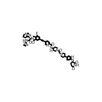 O=C1CC[C@@H](Nc2ccc(C3CCN(CC(=O)N4CCC(NC(=O)c5ccc(C#Cc6cc(F)c7c(c6)C(=O)N([C@@H](C(=O)Nc6nccs6)c6ncn8c6CCC8)C7)cn5)CC4)CC3)cc2)C(=O)N1